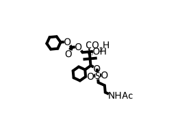 CC(=O)NCCCS(=O)(=O)OC(C1CCCCC1)C(C)(C)[C@@](O)(COC(=O)OC1CCCCC1)C(=O)O